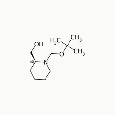 CC(C)(C)OCN1CCCC[C@H]1CO